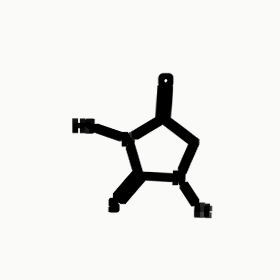 CCN1CC(=O)N(S)C1=S